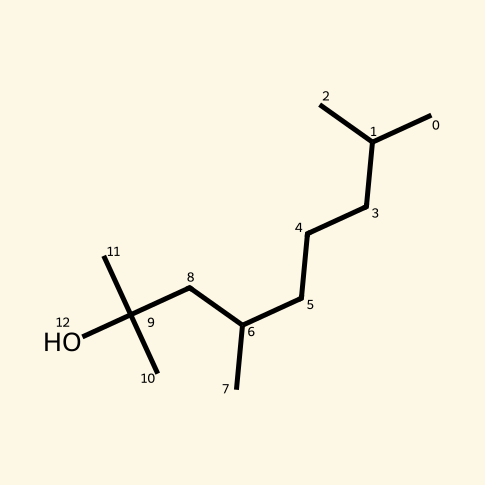 CC(C)CCCC(C)CC(C)(C)O